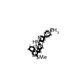 CSC1=NCC2(CCCCC2)n2c1cc1cnc(Nc3ccc(N4CCN(C)CC4)cn3)nc12